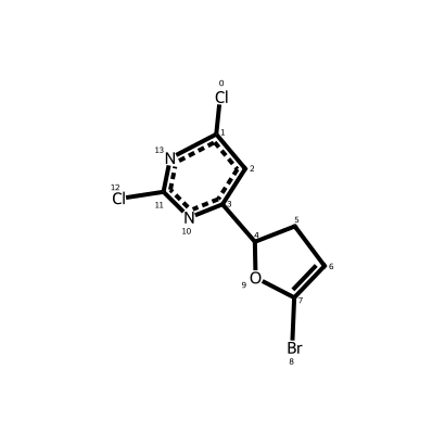 Clc1cc(C2CC=C(Br)O2)nc(Cl)n1